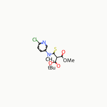 COC(=O)C(C(=O)OC(C)(C)C)C(=S)N(C)c1ccc(Cl)nc1